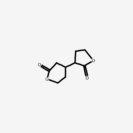 O=C1CC(C2CCOC2=O)CCO1